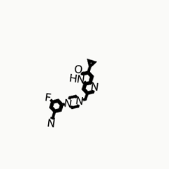 N#Cc1cc(F)cc(N2CCN(Cc3cnc4cc(C5CC5)c(=O)[nH]c4c3)CC2)c1